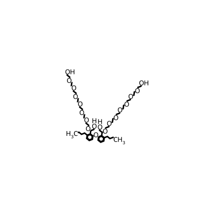 CCCCc1cccc(Oc2cccc(CCCC)c2C(CO)OCCOCCOCCOCCOCCOCCOCCO)c1C(CO)OCCOCCOCCOCCOCCOCCOCCO